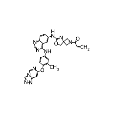 C=CC(=O)N1CC2(COC(Nc3ccc4ncnc(Nc5ccc(Oc6cc7nncn7cn6)c(C)c5)c4c3)=N2)C1